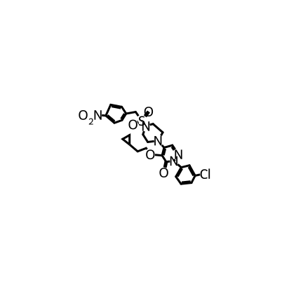 O=c1c(OCCC2CC2)c(N2CCN(S(=O)(=O)Cc3ccc([N+](=O)[O-])cc3)CC2)cnn1-c1cccc(Cl)c1